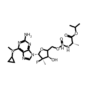 CC(C)OC(=O)[C@H](C)N[PH](=O)OCC1O[C@@H](n2cnc3c(N(C)C4CC4)nc(N)nc32)[C@](C)(F)[C@@H]1O